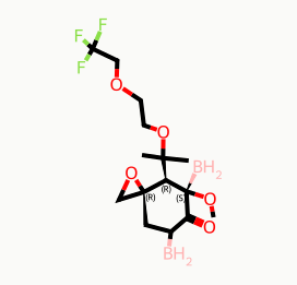 BC1C[C@]2(CO2)[C@@H](C(C)(C)OCCOCC(F)(F)F)[C@](B)(OC)C1=O